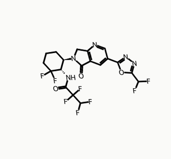 O=C1c2cc(-c3nnc(C(F)F)o3)cnc2CN1[C@@H]1CCCC(F)(F)[C@H]1NC(=O)C(F)(F)C(F)F